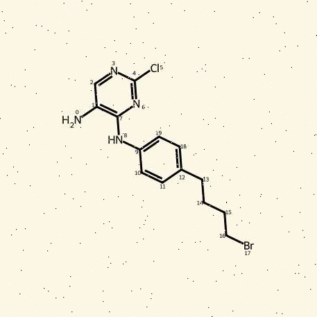 Nc1cnc(Cl)nc1Nc1ccc(CCCCBr)cc1